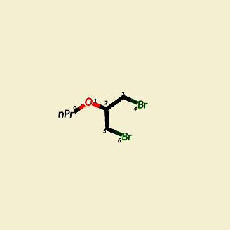 CCCOC(CBr)CBr